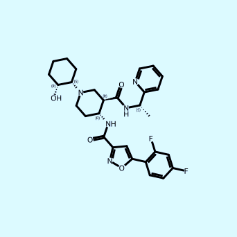 C[C@H](NC(=O)[C@@H]1CN([C@H]2CCCC[C@H]2O)CC[C@H]1NC(=O)c1cc(-c2ccc(F)cc2F)on1)c1ccccn1